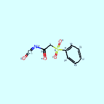 O=C=NC(=O)CS(=O)(=O)c1ccccc1